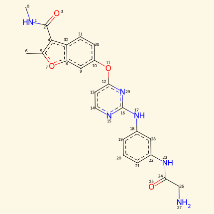 CNC(=O)c1c(C)oc2cc(Oc3ccnc(Nc4cccc(NC(=O)CN)c4)n3)ccc12